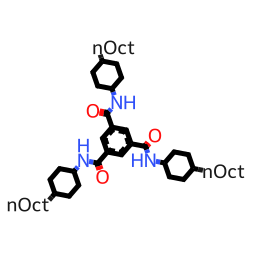 CCCCCCCCC1CCC(NC(=O)c2cc(C(=O)NC3CCC(CCCCCCCC)CC3)cc(C(=O)NC3CCC(CCCCCCCC)CC3)c2)CC1